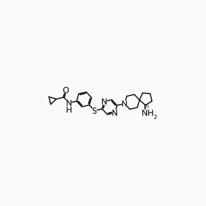 N[C@@H]1CCCC12CCN(c1cnc(Sc3cccc(NC(=O)C4CC4)c3)cn1)CC2